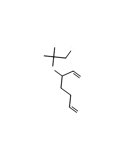 CC(O)(CN)NC(C=O)CCC=O